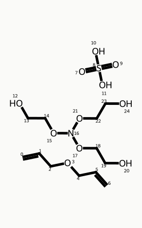 C=CCOCC=C.O=S(=O)(O)O.OCCON(OCCO)OCCO